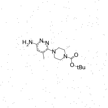 Cc1cc(N)nnc1N1CCN(C(=O)OC(C)(C)C)[C@@H](C)C1